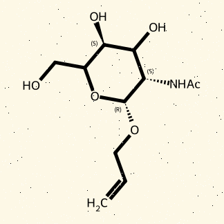 C=CCO[C@@H]1OC(CO)[C@@H](O)C(O)[C@@H]1NC(C)=O